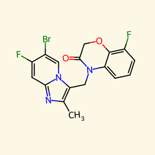 Cc1nc2cc(F)c(Br)cn2c1CN1C(=O)COc2c(F)cccc21